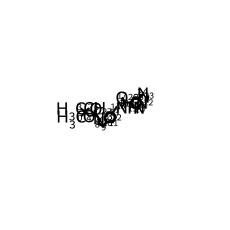 CC(C)(C)OC(=O)n1ccc2ccc(CNC(=O)c3cnn4ccnc4c3)cc21